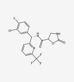 O=C1NCC(C(=O)N[C@@H](c2ccc(F)c(Cl)c2)c2cccc(C(F)(F)F)n2)O1